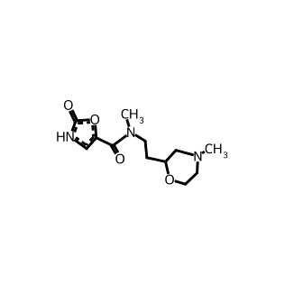 CN1CCOC(CCN(C)C(=O)c2c[nH]c(=O)o2)C1